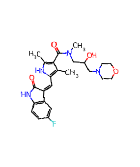 Cc1[nH]c(C=C2C(=O)Nc3ccc(F)cc32)c(C)c1C(=O)N(C)CC(O)CN1CCOCC1